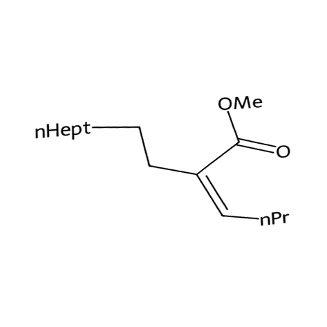 CCCC=C(CCCCCCCCC)C(=O)OC